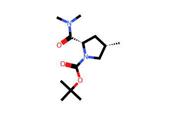 C[C@H]1C[C@@H](C(=O)N(C)C)N(C(=O)OC(C)(C)C)C1